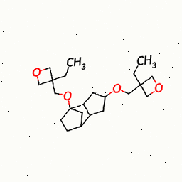 CCC1(COC2CC3C4CCC(OCC5(CC)COC5)(C4)C3C2)COC1